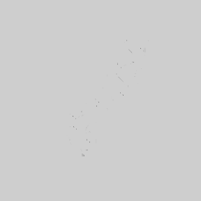 CCc1cn2nc(CN3CC(N(C)c4ccc(C(=O)NC)nc4C)C3)cc2[nH]c1=O